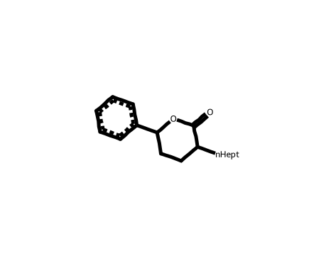 CCCCCCCC1CCC(c2ccccc2)OC1=O